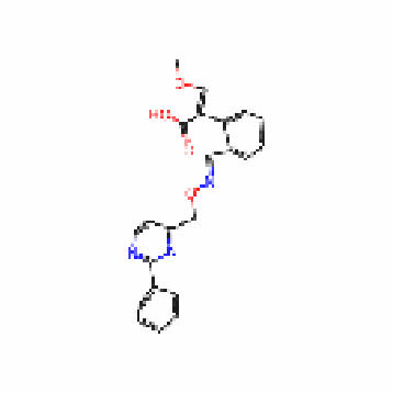 COC=C(C(=O)O)c1ccccc1C=NOCc1ccnc(-c2ccccc2)n1